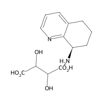 N[C@@H]1CCCc2cccnc21.O=C(O)C(O)C(O)C(=O)O